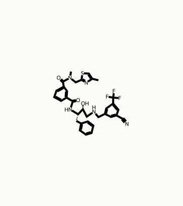 Cc1csc(CN(C)C(=O)c2cccc(C(=O)N[C@@H](Cc3ccccc3)[C@H](O)CNCc3cc(C#N)cc(C(F)(F)F)c3)c2)n1